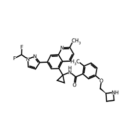 Cc1ccc2c(C3(NC(=O)c4cc(OC[C@@H]5CCN5)ccc4C)CC3)cc(-c3ccn(C(F)F)n3)cc2n1